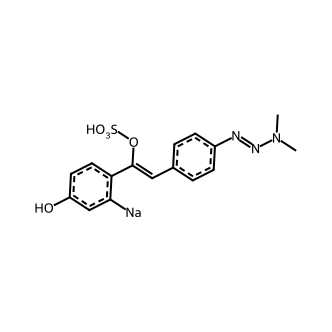 CN(C)N=Nc1ccc(C=C(OS(=O)(=O)O)c2ccc(O)c[c]2[Na])cc1